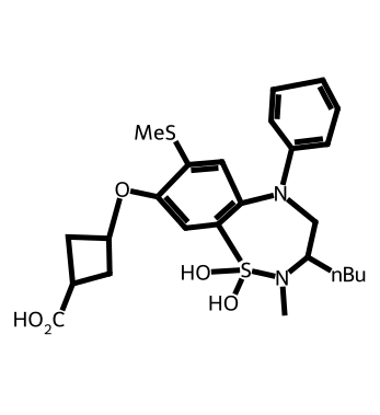 CCCCC1CN(c2ccccc2)c2cc(SC)c(OC3CC(C(=O)O)C3)cc2S(O)(O)N1C